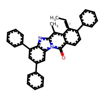 C/C=c1/c(-c2ccccc2)ccc2c(=O)n3c(nc4c(-c5ccccc5)cc(-c5ccccc5)cc43)c(C)c12